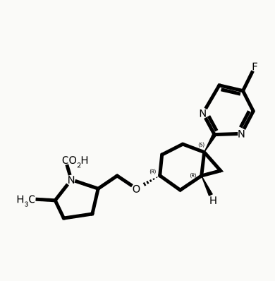 CC1CCC(CO[C@@H]2CC[C@]3(c4ncc(F)cn4)C[C@@H]3C2)N1C(=O)O